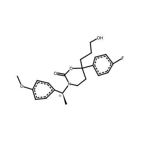 COc1ccc([C@H](C)N2CCC(CCCO)(c3ccc(F)cc3)OC2=O)cc1